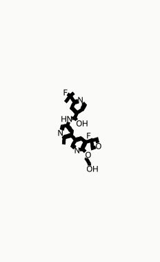 Cc1ncc(NC(O)c2ccnc(C(C)(C)F)c2)cc1-c1cnc(OCCO)c(C2(F)COC2)c1